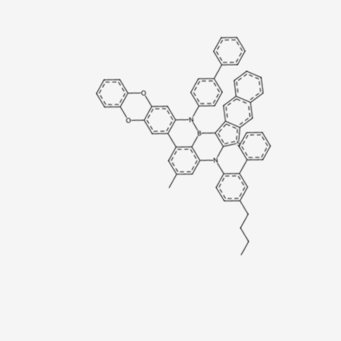 CCCCc1ccc(N2c3cc(C)cc4c3B(c3c2sc2cc5ccccc5cc32)N(c2ccc(-c3ccccc3)cc2)c2cc3c(cc2-4)Oc2ccccc2O3)c(-c2ccccc2)c1